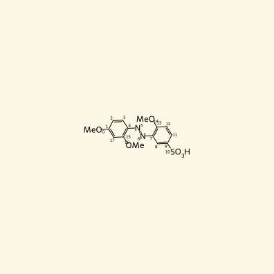 COc1ccc(N=Nc2cc(S(=O)(=O)O)ccc2OC)c(OC)c1